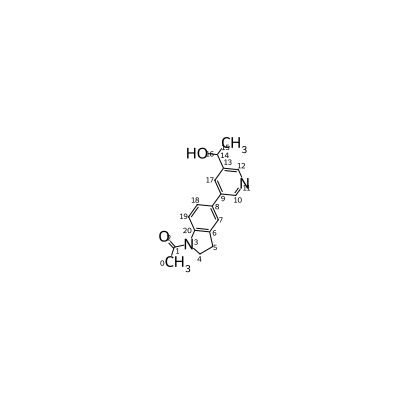 CC(=O)N1CCc2cc(-c3cncc(C(C)O)c3)ccc21